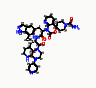 Cc1cc(C[C@H](C(=O)N[C@@H](CC2CCNCC2)C(=O)N2CCN(c3ccncc3)CC2)N2C(=O)OC3(CCN(C(N)=O)CC3)c3cccnc32)cc2cn[nH]c12